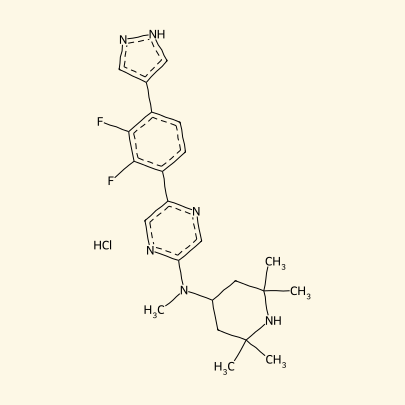 CN(c1cnc(-c2ccc(-c3cn[nH]c3)c(F)c2F)cn1)C1CC(C)(C)NC(C)(C)C1.Cl